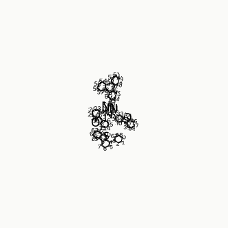 c1ccc(-c2cccc3c2sc2c(-c4cccc5c4oc4cccc(-c6nc(-c7ccc8c(c7)oc7ccccc78)nc(-c7ccc8c9ccccc9c9ccccc9c8c7)n6)c45)cccc23)cc1